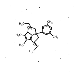 CCCC[Si](CCCC)(C1=C(C)C(C)=C(C)C1C)c1cc(C)cc(C)c1